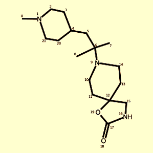 CN1CCC(CC(C)(C)N2CCC3(CC2)CNC(=O)O3)CC1